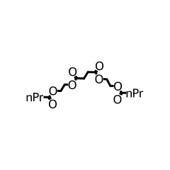 CCCC(=O)OCCOC(=O)CCC(=O)OCCOC(=O)CCC